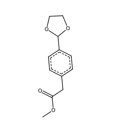 COC(=O)Cc1ccc(C2OCCO2)cc1